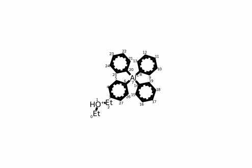 CC[OH+]CC.c1cc[c]([Al-]([c]2ccccc2)([c]2ccccc2)[c]2ccccc2)cc1